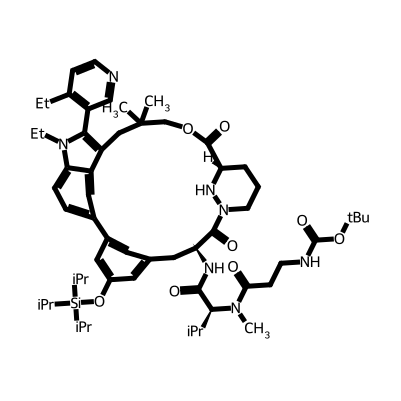 CCc1ccncc1-c1c2c3cc(ccc3n1CC)-c1cc(cc(O[Si](C(C)C)(C(C)C)C(C)C)c1)C[C@H](NC(=O)[C@H](C(C)C)N(C)C(=O)CCNC(=O)OC(C)(C)C)C(=O)N1CCC[C@H](N1)C(=O)OCC(C)(C)C2